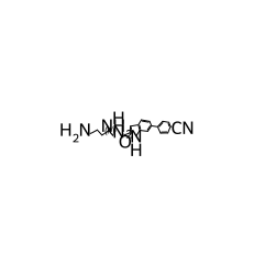 N#Cc1ccc(-c2ccc3cc(C(=O)NC[C@H](N)CCCN)[nH]c3c2)cc1